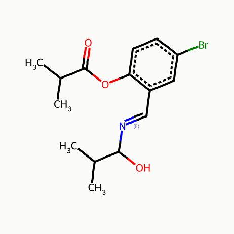 CC(C)C(=O)Oc1ccc(Br)cc1/C=N/C(O)C(C)C